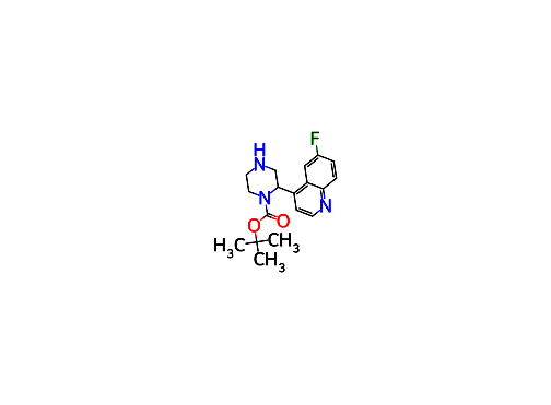 CC(C)(C)OC(=O)N1CCNCC1c1ccnc2ccc(F)cc12